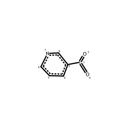 O=I(=O)c1cccnc1